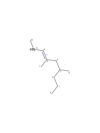 CCCC(C)C/C(C)=C/NC